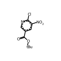 CC(C)(C)OC(=O)c1cnc(Cl)c([N+](=O)[O-])c1